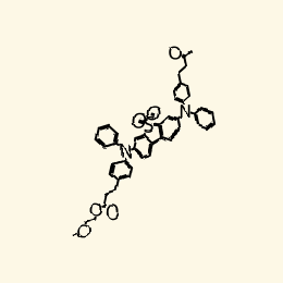 COCCOC(=O)CCc1ccc(N(c2ccccc2)c2ccc3c(c2)S(=O)(=O)c2cc(N(c4ccccc4)c4ccc(CCC(C)=O)cc4)ccc2-3)cc1